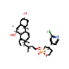 C[C@H](CCO[P@]1(=O)C[C@H](c2ccnc(Cl)c2)CCO1)[C@H]1CCC2C3C(CC[C@@]21C)[C@@]1(C)CC[C@@H](O)CC1[C@@H](C)[C@H]3O